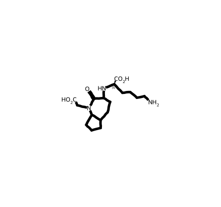 NCCCC[C@H](NC1CCC2CCCC2N(CC(=O)O)C1=O)C(=O)O